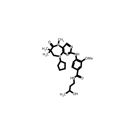 COc1cc(C(=O)NCCC(C)O)ccc1Nc1ncc2c(n1)N(C1CCCC1)CC(C)(C)C(=O)N2C